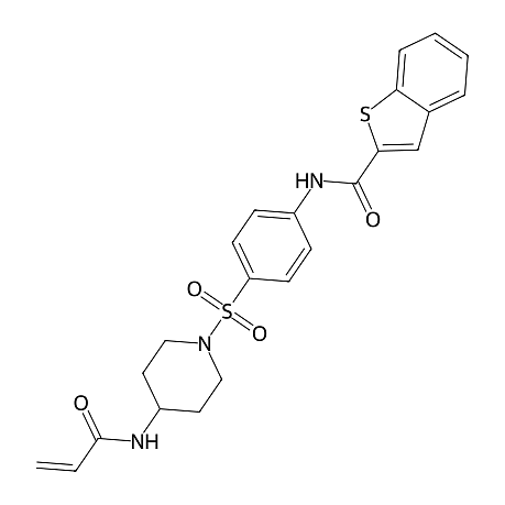 C=CC(=O)NC1CCN(S(=O)(=O)c2ccc(NC(=O)c3cc4ccccc4s3)cc2)CC1